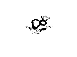 CNc1c(O)ccc2c1CC[C@H](NC(C)C)[C@H]2O.O=C(O)/C=C/C(=O)O